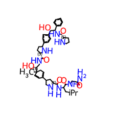 CC(C)CC(NC(=O)[C@@H]1CC(C2=CCC(C)([C@H](O)CNC(=O)[C@@H]3CCC(c4ccc(C(O)C(NC(=O)[C@@H]5CCCN5)c5ccccc5)cc4)N3)C=C2)CN1)C(=O)NCC(N)=O